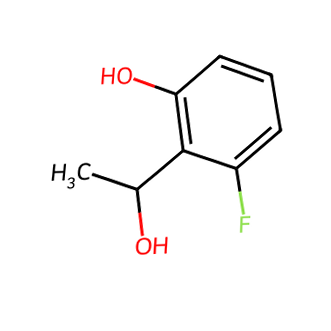 CC(O)c1c(O)cccc1F